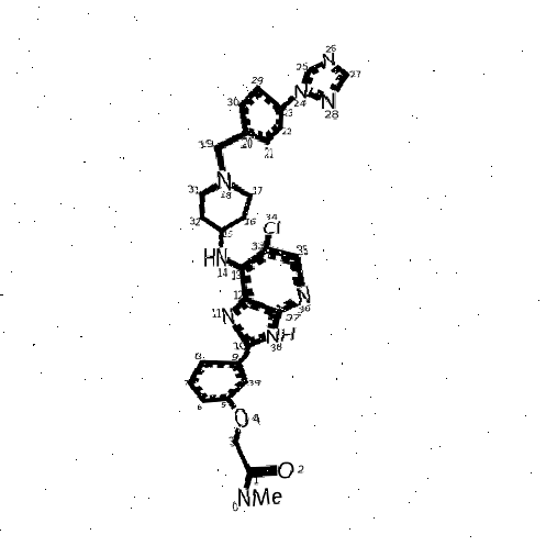 CNC(=O)COc1cccc(-c2nc3c(NC4CCN(Cc5ccc(-n6cncn6)cc5)CC4)c(Cl)cnc3[nH]2)c1